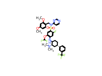 COc1ccc(CN(c2ccncn2)S(=O)(=O)c2cc(OC(F)F)c(NC3CC[C@H](c4cccc(C(F)(F)F)c4)C[C@@H]3N(C)C)cc2F)c(OC)c1